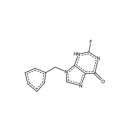 O=c1nc(F)[nH]c2c1ncn2Cc1ccccc1